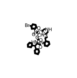 COC(=O)N[C@H](C(=O)Nc1ccccc1CC[C@@H]1CNC[C@@H](COc2ccc(Br)cc2[N+](=O)[O-])O1)C(c1ccccc1)c1ccccc1